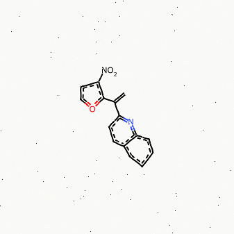 C=C(c1ccc2ccccc2n1)c1occc1[N+](=O)[O-]